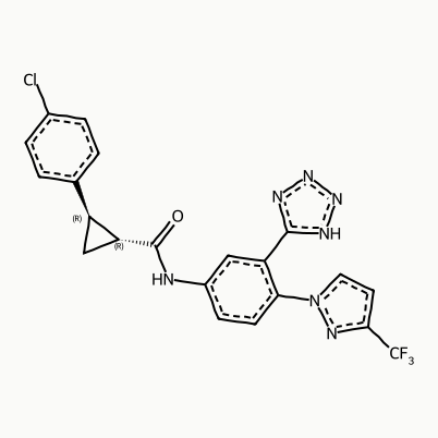 O=C(Nc1ccc(-n2ccc(C(F)(F)F)n2)c(-c2nnn[nH]2)c1)[C@@H]1C[C@H]1c1ccc(Cl)cc1